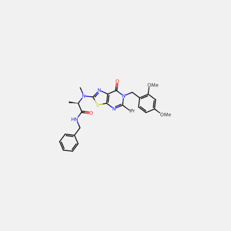 COc1ccc(Cn2c(C(C)C)nc3sc(N(C)[C@H](C)C(=O)NCc4ccccc4)nc3c2=O)c(OC)c1